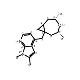 Cc1cc2c(CC34CC3C[C@H](C)O[C@H](C)C4)ccnc2n1C